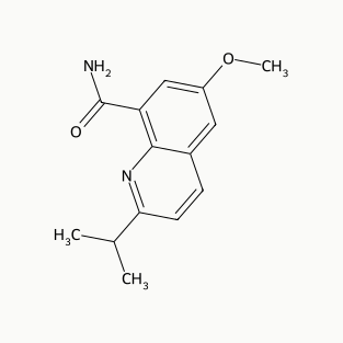 COc1cc(C(N)=O)c2nc(C(C)C)ccc2c1